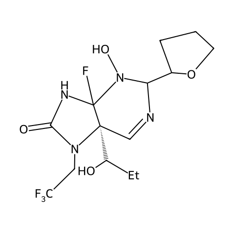 CCC(O)[C@@]12C=NC(C3CCCO3)N(O)C1(F)NC(=O)N2CC(F)(F)F